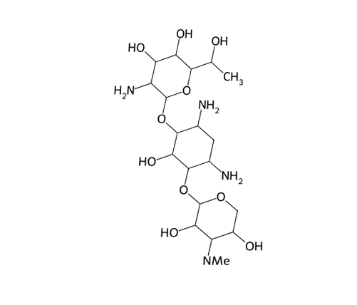 CNC1C(O)COC(OC2C(N)CC(N)C(OC3OC(C(C)O)C(O)C(O)C3N)C2O)C1O